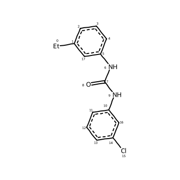 CCc1cccc(NC(=O)Nc2cccc(Cl)c2)c1